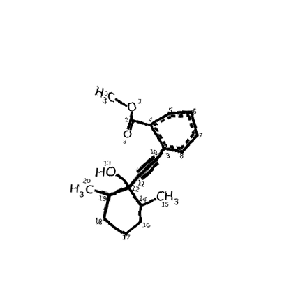 COC(=O)c1ccccc1C#CC1(O)C(C)CCCC1C